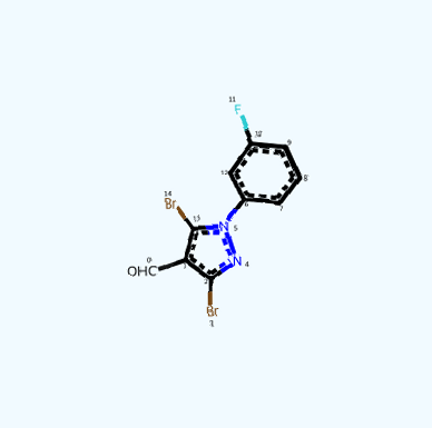 O=Cc1c(Br)nn(-c2cccc(F)c2)c1Br